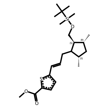 COC(=O)c1ccc(C=CCC2[C@@H](CO[Si](C)(C)C(C)(C)C)[C@H](C)C[C@@H]2C)s1